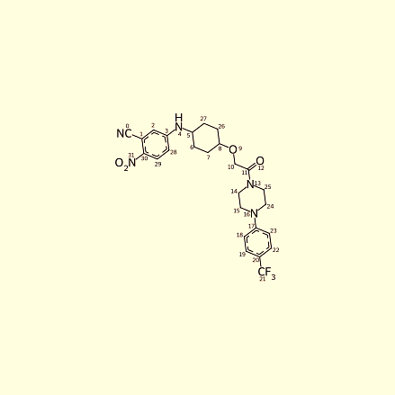 N#Cc1cc(NC2CCC(OCC(=O)N3CCN(c4ccc(C(F)(F)F)cc4)CC3)CC2)ccc1[N+](=O)[O-]